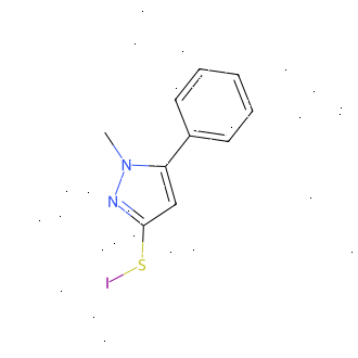 Cn1nc(SI)cc1-c1ccccc1